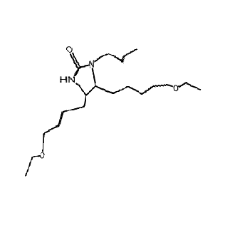 CCCN1C(=O)NC(CCCCOCC)C1CCCCOCC